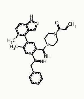 C=CC(=O)N1CCN(C(=N)c2cc(-c3c(C)ccc4[nH]ncc34)c(C)cc2C(=N)Cc2ccccc2)CC1